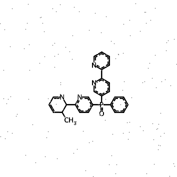 CC1C=CC=NC1c1ccc(P(=O)(c2ccccc2)c2ccc(-c3ccccn3)nc2)cn1